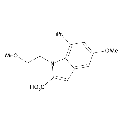 COCCn1c(C(=O)O)cc2cc(OC)cc(C(C)C)c21